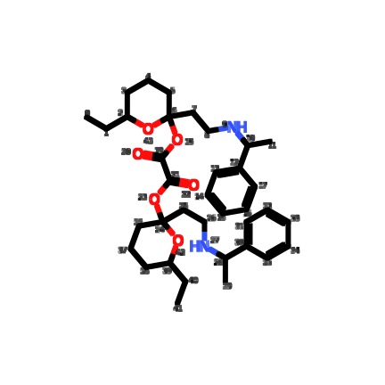 CCC1CCCC(CCNC(C)c2ccccc2)(OC(=O)C(=O)OC2(CCNC(C)c3ccccc3)CCCC(CC)O2)O1